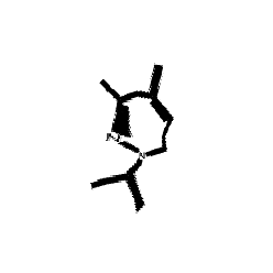 CC1=CCN(C(C)C)N=C1C